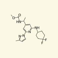 COC(=O)NC(C)c1cc(NC2CCC(F)(F)CC2)nc(-n2ccc(C)n2)c1